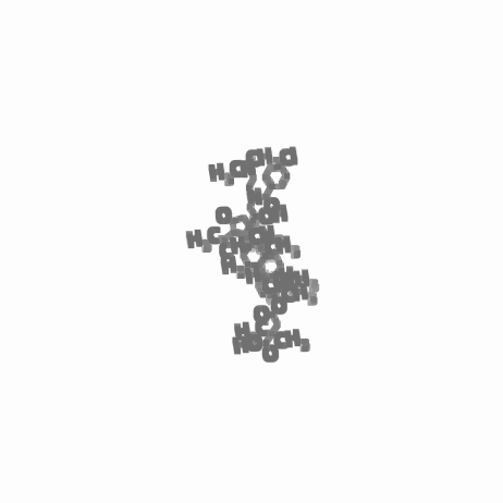 CC(C)C1=C2[C@H]3CC[C@@H]4[C@@]5(C)CC[C@H](OC(=O)CC(C)(C)C(=O)O)C(C)(C)[C@@H]5CC[C@@]4(C)[C@]3(C)CC[C@@]2([C@H](O)CN(CCN(C)C)C(=O)c2ccc(Cl)cc2)CC1=O